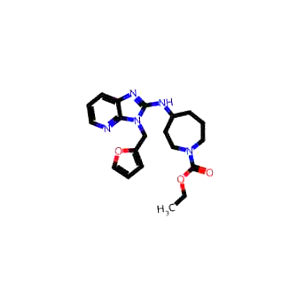 CCOC(=O)N1CCCC(Nc2nc3cccnc3n2Cc2ccco2)CC1